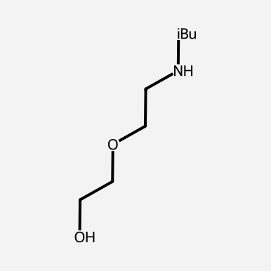 CCC(C)NCCOCCO